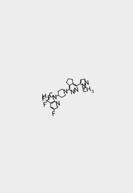 CN(c1ncc(F)cc1C(F)(F)F)C1CCN(c2nnc(-c3ccnn3C)c3c2CCC3)CC1